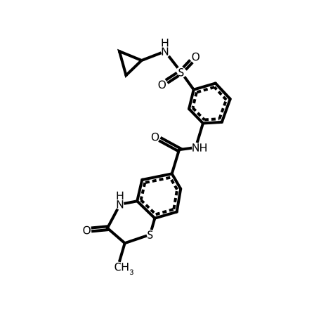 CC1Sc2ccc(C(=O)Nc3cccc(S(=O)(=O)NC4CC4)c3)cc2NC1=O